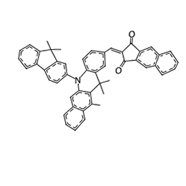 Cc1c2c(cc3ccccc13)N(c1ccc3c(c1)C(C)(C)c1ccccc1-3)c1ccc(C=C3C(=O)c4cc5ccccc5cc4C3=O)cc1C2(C)C